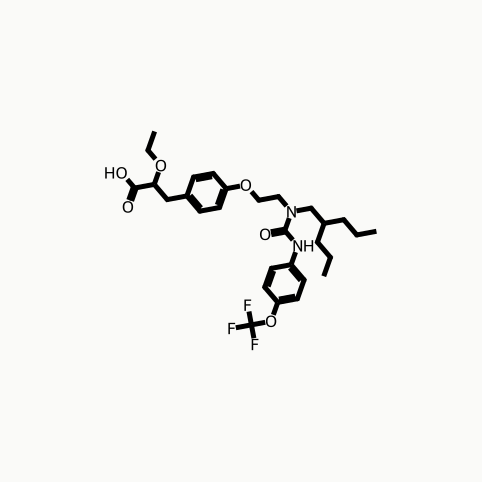 CCCC(CCC)CN(CCOc1ccc(CC(OCC)C(=O)O)cc1)C(=O)Nc1ccc(OC(F)(F)F)cc1